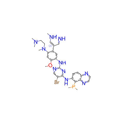 CN/C=C(\C=N)c1cc(Nc2ncc(Br)c(Nc3ccc4nccnc4c3P(C)C)n2)c(OC)cc1N(C)CCN(C)C